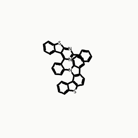 c1ccc(-c2nc(-c3ccccc3-n3c4ccccc4c4ccc5sc6ccccc6c5c43)c3c(n2)sc2ccccc23)cc1